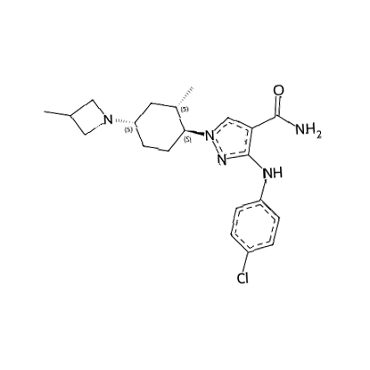 CC1CN([C@H]2CC[C@H](n3cc(C(N)=O)c(Nc4ccc(Cl)cc4)n3)[C@@H](C)C2)C1